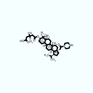 CC(C)[C@@H]1CC[C@]2(CC(=O)N3CCNCC3)CC[C@]3(C)[C@H](CC[C@@H]4[C@@]5(C)CC[C@H](OC(=O)CC(C)(C)CC(=O)O)C(C)(C)[C@@H]5CC[C@]43C)[C@@H]12